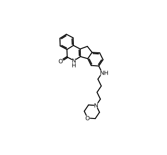 O=c1[nH]c2c(c3ccccc13)Cc1ccc(NCCCCN3CCOCC3)cc1-2